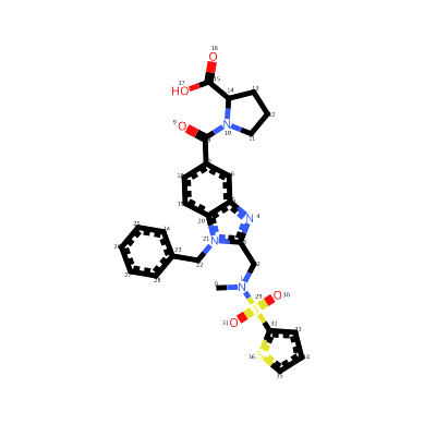 CN(Cc1nc2cc(C(=O)N3CCCC3C(=O)O)ccc2n1Cc1ccccc1)S(=O)(=O)c1cccs1